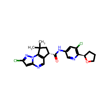 CC1(C)C[C@H](C(=O)Nc2cnc([C@H]3CCCO3)c(Cl)c2)c2cnc3cc(Cl)nn3c21